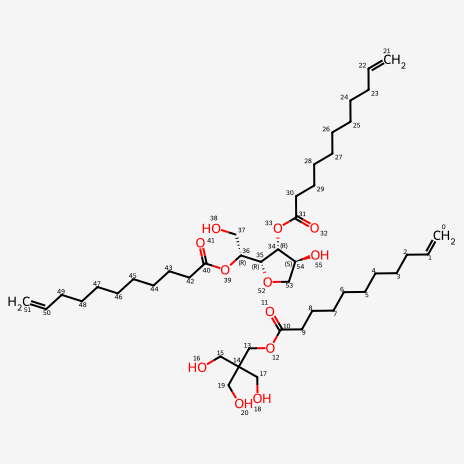 C=CCCCCCCCCC(=O)OCC(CO)(CO)CO.C=CCCCCCCCCC(=O)O[C@H]1[C@@H]([C@@H](CO)OC(=O)CCCCCCCCC=C)OC[C@@H]1O